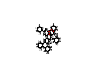 c1ccc(-c2nc(-c3ccccc3)nc(-c3cc(-c4ccccc4-c4ccccc4)cnc3N3c4ccccc4Oc4ccccc43)n2)cc1